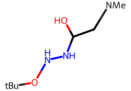 CNCC(O)NNOC(C)(C)C